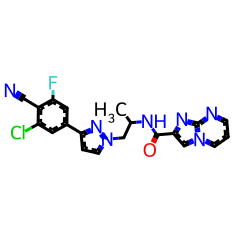 CC(Cn1ccc(-c2cc(F)c(C#N)c(Cl)c2)n1)NC(=O)c1cn2cccnc2n1